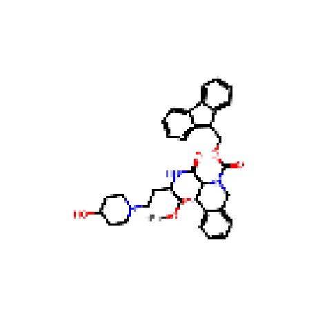 CC(C)(C)OC(=O)C(CCN1CCC(O)CC1)NC(=O)C1Cc2ccccc2CN1C(=O)OCC1c2ccccc2-c2ccccc21